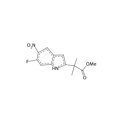 COC(=O)C(C)(C)c1cc2cc([N+](=O)[O-])c(F)cc2[nH]1